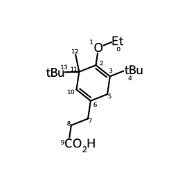 CCOC1=C(C(C)(C)C)CC(CCC(=O)O)=CC1(C)C(C)(C)C